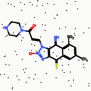 Cc1cc2c(c([N+](=O)[O-])c1)C(=N)c1c(n[n+]([O-])n1/C=C/C(=O)N1CCNCC1)C2=S